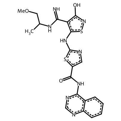 COCC(C)NC(=N)c1c(O)nsc1Nc1ncc(C(=O)Nc2ncnc3ccccc23)s1